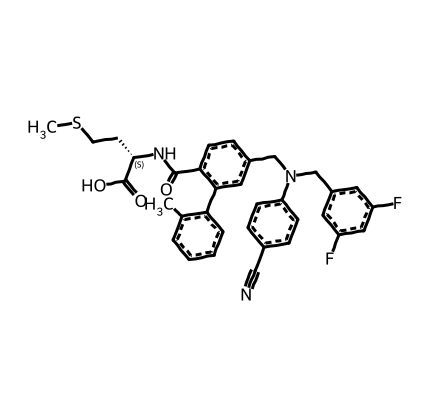 CSCC[C@H](NC(=O)c1ccc(CN(Cc2cc(F)cc(F)c2)c2ccc(C#N)cc2)cc1-c1ccccc1C)C(=O)O